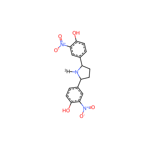 [2H]N1C(c2ccc(O)c([N+](=O)[O-])c2)CCC1c1ccc(O)c([N+](=O)[O-])c1